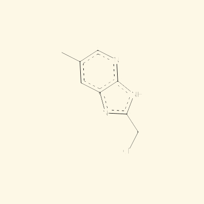 Cc1cnc2[nH]c(CCl)nc2c1